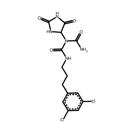 NC(=O)N(C(=O)NCCCc1cc(Cl)cc(Cl)c1)C1NC(=O)NC1=O